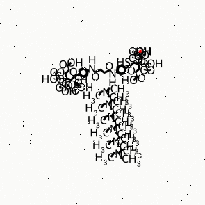 CCN(CC)CC.CCN(CC)CC.CCN(CC)CC.CCN(CC)CC.CCN(CC)CC.CCN(CC)CC.O=C(CCC(=O)Nc1ccc([C@]2(S)O[C@H](C(=O)O)[C@@H](OS(=O)(=O)O)[C@H](OS(=O)(=O)O)[C@H]2OS(=O)(=O)O)cc1)Nc1ccc([C@]2(S)O[C@H](C(=O)O)[C@@H](OS(=O)(=O)O)[C@H](OS(=O)(=O)O)[C@H]2OS(=O)(=O)O)cc1